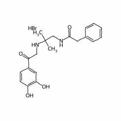 Br.CC(C)(CNC(=O)Cc1ccccc1)NCC(=O)c1ccc(O)c(O)c1